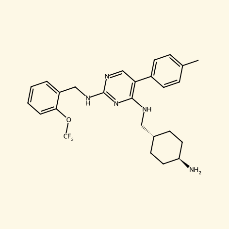 Cc1ccc(-c2cnc(NCc3ccccc3OC(F)(F)F)nc2NC[C@H]2CC[C@H](N)CC2)cc1